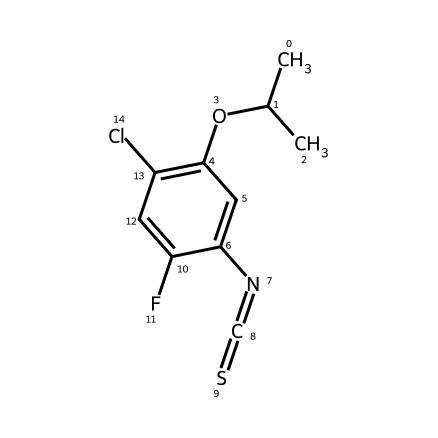 CC(C)Oc1cc(N=C=S)c(F)cc1Cl